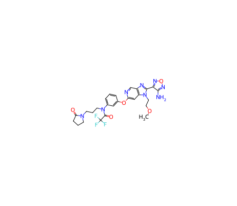 COCCn1c(-c2nonc2N)nc2cnc(Oc3cccc(N(CCCN4CCCC4=O)C(=O)C(F)(F)F)c3)cc21